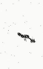 O=C(NCCCn1ccc2cnc(Nc3ccc(N4CCOCC4)nc3)nc21)C1CCC1